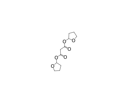 O=C(CC(=O)OC1CCCO1)OC1CCCO1